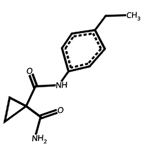 CCc1ccc(NC(=O)C2(C(N)=O)CC2)cc1